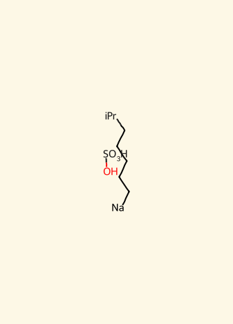 CC(C)CCCC[CH2][Na].O=S(=O)(O)O